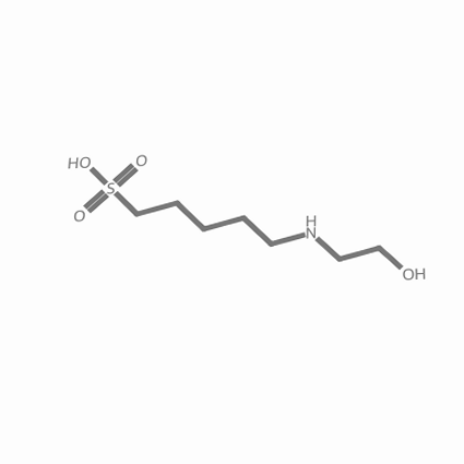 O=S(=O)(O)CCCCCNCCO